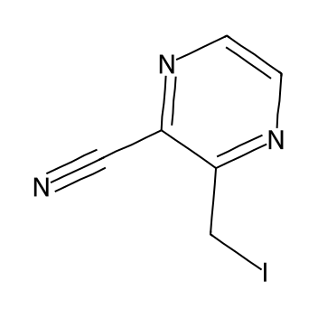 N#Cc1nccnc1CI